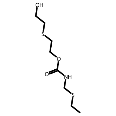 CCSCNC(=O)OCCSCCO